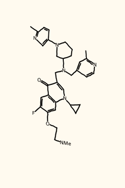 CNCCOc1cc2c(cc1F)c(=O)c(CN(Cc1ccnc(C)c1)C1CCCN(c3ccc(C)nc3)C1)cn2C1CC1